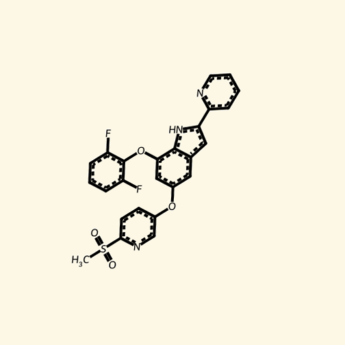 CS(=O)(=O)c1ccc(Oc2cc(Oc3c(F)cccc3F)c3[nH]c(-c4ccccn4)cc3c2)cn1